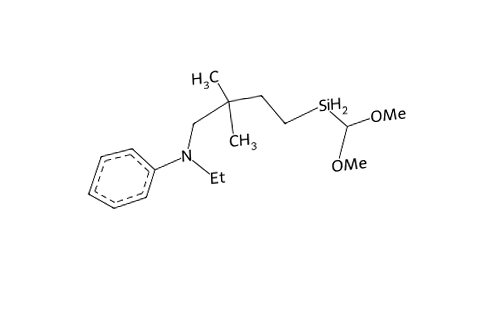 CCN(CC(C)(C)CC[SiH2]C(OC)OC)c1ccccc1